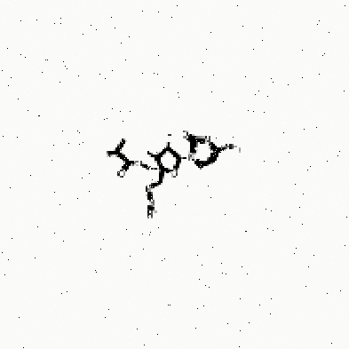 CC(C)C(=O)OC[C@@]1(CN=[N+]=[N-])O[C@@H](n2ccc(N)nc2=O)[C@H](F)[C@@H]1C